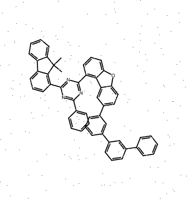 CC1(C)c2ccccc2-c2cccc(-c3nc(-c4ccccc4)nc(-c4cccc5oc6ccc(-c7cccc(-c8cccc(-c9ccccc9)c8)c7)cc6c45)n3)c21